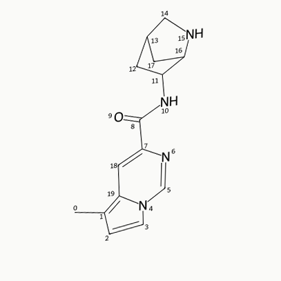 Cc1ccn2cnc(C(=O)NC3CC4CNC3C4)cc12